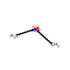 CCCCCCCCCCCCC/C=C/[C@@H](O)[C@H](CI)NC(=O)CCCCCCCCCCCCCCCC